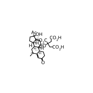 CC(=O)[C@@]1(O)CC[C@H]2[C@@H]3C[C@H](C)C4=CC(=O)CC[C@]4(C)[C@H]3CC[C@@]21C.O=C(O)CC(O)(CC(=O)O)C(=O)O